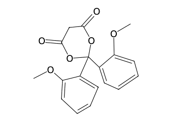 COc1ccccc1C1(c2ccccc2OC)OC(=O)CC(=O)O1